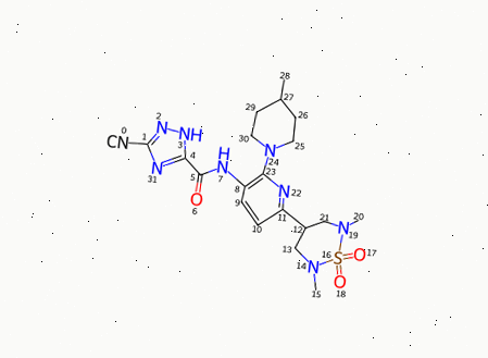 [C-]#[N+]c1n[nH]c(C(=O)Nc2ccc(C3CN(C)S(=O)(=O)N(C)C3)nc2N2CCC(C)CC2)n1